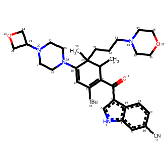 CC1C(C(=O)c2c[nH]c3cc(C#N)ccc23)=C(C(C)(C)C)C=C(N2CCN(C3COC3)CC2)C1(C)CCCN1CCOCC1